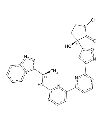 C[C@@H](Nc1nccc(-c2cccc(-c3cc([C@]4(O)CCN(C)C4=O)on3)n2)n1)c1cnc2ccccn12